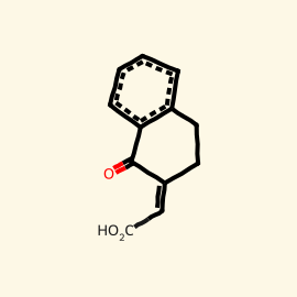 O=C(O)/C=C1/CCc2ccccc2C1=O